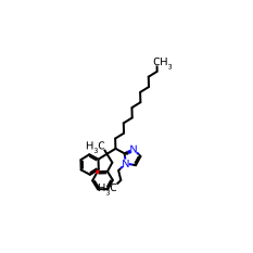 CCCCCCCCCCCC(c1nccn1CCC)C(C)(Cc1ccccc1)c1ccccc1